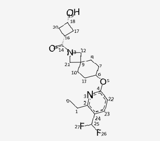 CCc1nc(OC2CCC3(CC2)CN(C(=O)[C@H]2C[C@@H](O)C2)C3)ccc1C(F)F